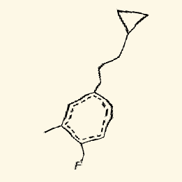 Cc1cc(CCC2CC2)ccc1F